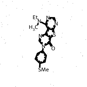 CCN(C)c1ncnc2sc3c(=O)n(-c4ccc(SC)cc4)cnc3c12